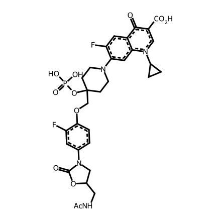 CC(=O)NCC1CN(c2ccc(OCC3(OP(=O)(O)O)CCN(c4cc5c(cc4F)c(=O)c(C(=O)O)cn5C4CC4)CC3)c(F)c2)C(=O)O1